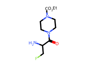 CCOC(=O)N1CCN(C(=O)C(N)CF)CC1